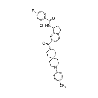 O=C(NC1CCc2ccc(C(=O)N3CCC4(CC3)CCN(c3ccc(C(F)(F)F)cc3)CC4)cc21)c1ccc(F)cc1Cl